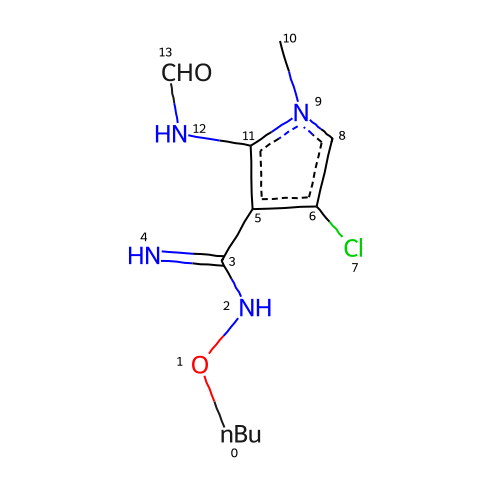 CCCCONC(=N)c1c(Cl)cn(C)c1NC=O